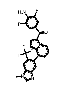 Cn1cnc2cc(-c3cccn4c(C(=O)c5cc(F)c(N)c(F)c5)ccc34)c(C(F)(F)F)cc21